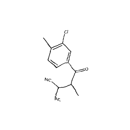 CC(=O)C(C#N)C(C)C(=O)c1ccc(C)c(Cl)c1